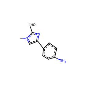 Cn1cc(-c2ccc(N)cc2)nc1C=O